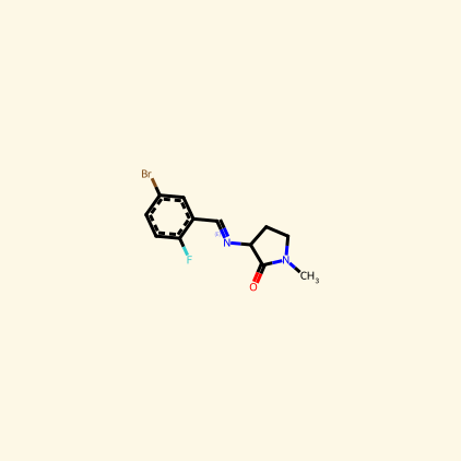 CN1CCC(/N=C/c2cc(Br)ccc2F)C1=O